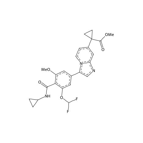 COC(=O)C1(c2ccn3c(-c4cc(OC)c(C(=O)NC5CC5)c(OC(F)F)c4)cnc3c2)CC1